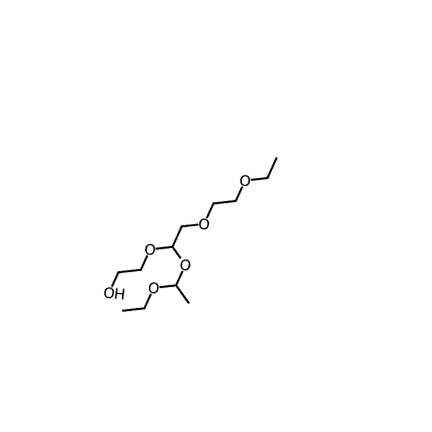 CCOCCOCC(OCCO)OC(C)OCC